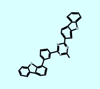 Cc1nc(-c2cccc(-c3cccc4c3sc3ccccc34)c2)nc(-c2ccc3c(c2)oc2ccccc23)n1